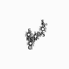 CN(C=S)c1ccc(C(=S)NCc2ccc(C(c3cc(F)ccc3F)S(=O)(=O)c3ccc(Cl)cc3)nc2)cc1